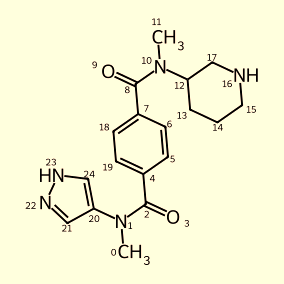 CN(C(=O)c1ccc(C(=O)N(C)C2CCCNC2)cc1)c1cn[nH]c1